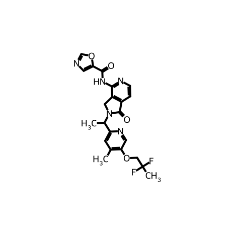 Cc1cc(C(C)N2Cc3c(ccnc3NC(=O)c3cnco3)C2=O)ncc1OCC(C)(F)F